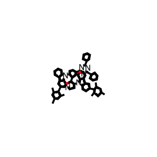 Cc1cc(C)c(-c2ccc3c(c2)c2ccccc2n3-c2ccncc2-c2cc(-c3nc(-c4ccccc4)nc(-c4ccccc4)n3)ccc2-n2c3ccccc3c3cc(-c4c(C)cc(C)cc4C)ccc32)c(C)c1